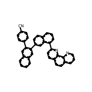 N#Cc1ccc(-c2cc3ccccc3cc2-c2ccc3cccc(-c4ccc5ccc6cccnc6c5n4)c3c2)cc1